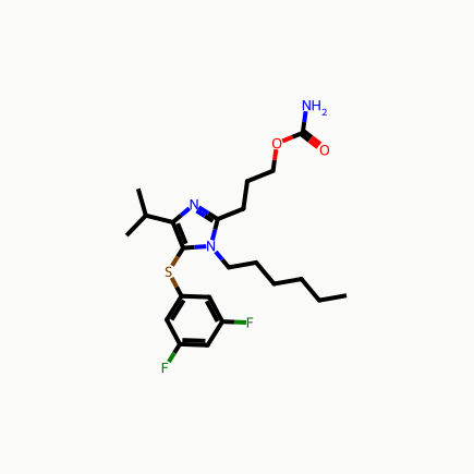 CCCCCCn1c(CCCOC(N)=O)nc(C(C)C)c1Sc1cc(F)cc(F)c1